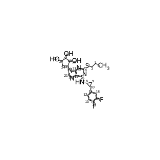 CCCSc1nc(N[C@@H]2C[C@H]2c2ccc(F)c(F)c2)c2ncn([C@@H]3C[C@H](O)[C@@H](O)[C@H]3O)c2n1